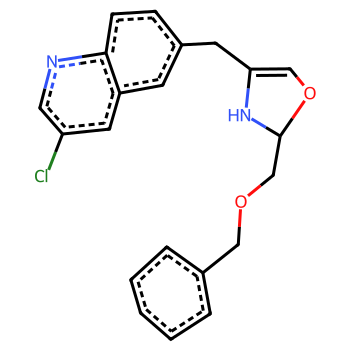 Clc1cnc2ccc(CC3=COC(COCc4ccccc4)N3)cc2c1